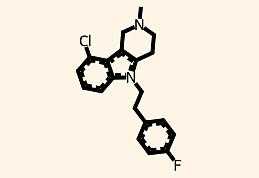 CN1CCc2c(c3c(Cl)cccc3n2CCc2ccc(F)cc2)C1